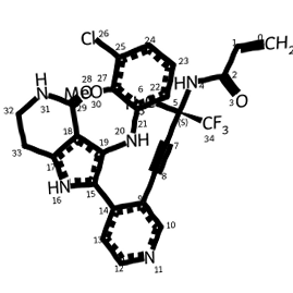 C=CC(=O)N[C@@](C)(C#Cc1cnccc1-c1[nH]c2c(c1Nc1cccc(Cl)c1OC)C(=O)NCC2)C(F)(F)F